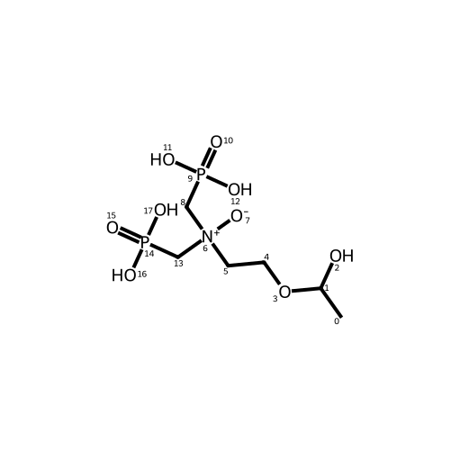 CC(O)OCC[N+]([O-])(CP(=O)(O)O)CP(=O)(O)O